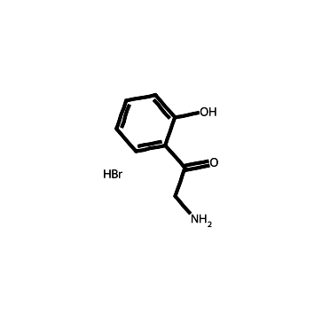 Br.NCC(=O)c1ccccc1O